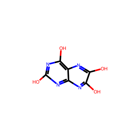 Oc1nc(O)c2nc(O)c(O)nc2n1